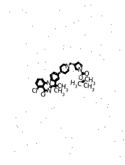 CC(C)(C)OC(=O)N1CC[C@H](CN2CCC(c3ccc4c(c3)C(C)(C)c3nc(=O)c5c(Cl)cccc5n3-4)CC2)C1